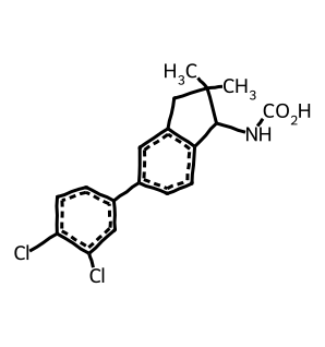 CC1(C)Cc2cc(-c3ccc(Cl)c(Cl)c3)ccc2C1NC(=O)O